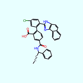 CCCC(NC(=O)c1ccc(-c2cc(Cl)ccc2-c2nc3c(ccc4ccccc43)[nH]2)c(C(=O)O)c1)c1ccccc1